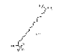 CC(C)CCCCCCCCCCCCCCC(O)S(=O)(=O)[O-].[Na+]